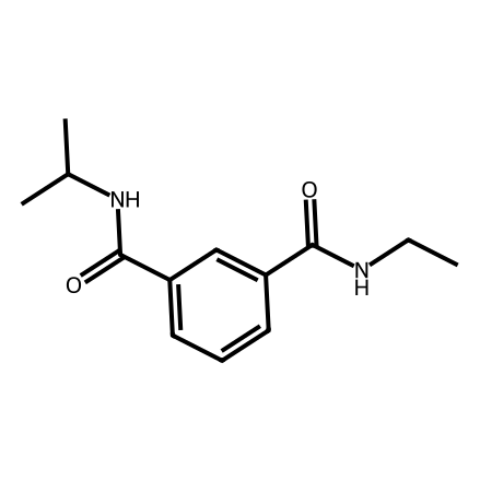 CCNC(=O)c1cccc(C(=O)NC(C)C)c1